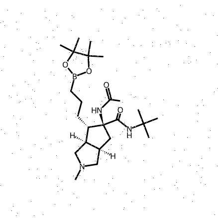 CC(=O)N[C@@]1(C(=O)NC(C)(C)C)C[C@H]2CN(C)C[C@H]2[C@@H]1CCCB1OC(C)(C)C(C)(C)O1